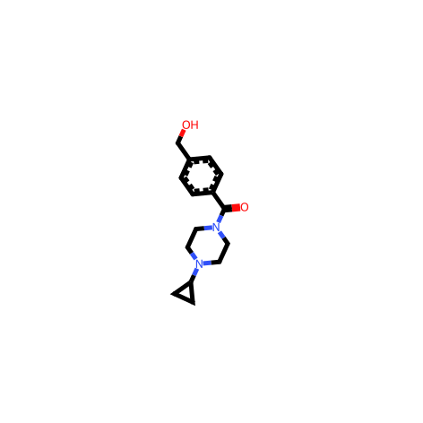 O=C(c1ccc(CO)cc1)N1CCN(C2CC2)CC1